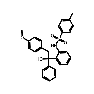 COc1ccc(CC(O)(c2ccccc2)c2ccccc2NS(=O)(=O)c2ccc(C)cc2)cc1